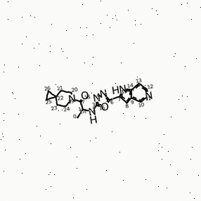 C[C@H](Nc1nnc(-c2cc3cnccc3[nH]2)o1)C(=O)N1CCC2(CC1)CC2